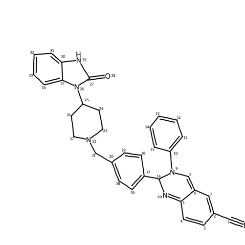 N#Cc1ccc2c(c1)=CN(c1ccccc1)C(c1ccc(CN3CCC(n4c(=O)[nH]c5ccccc54)CC3)cc1)N=2